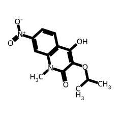 CC(C)Oc1c(O)c2ccc([N+](=O)[O-])cc2n(C)c1=O